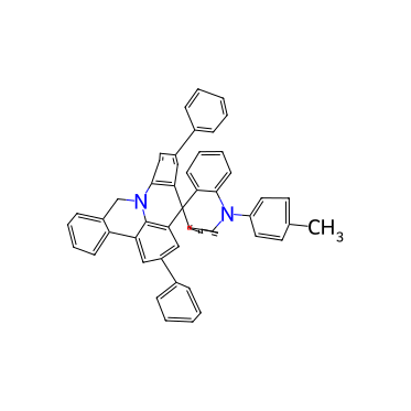 Cc1ccc(N2c3ccccc3C3(c4cc(-c5ccccc5)ccc4N4Cc5ccccc5-c5cc(-c6ccccc6)cc3c54)c3ccccc32)cc1